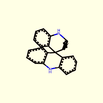 c1ccc2c(c1)Nc1ccccc1C21c2ccccc2Nc2ccccc21